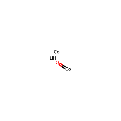 [Co].[LiH].[O]=[Co]